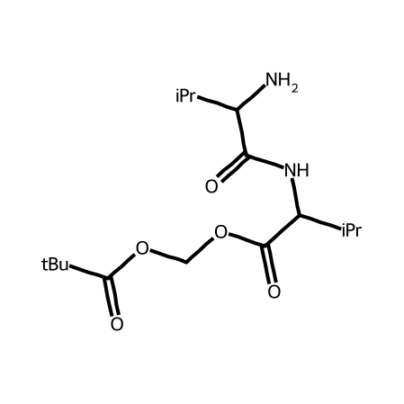 CC(C)C(N)C(=O)NC(C(=O)OCOC(=O)C(C)(C)C)C(C)C